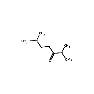 CON(C)C(=O)CCN(C)C(=O)O